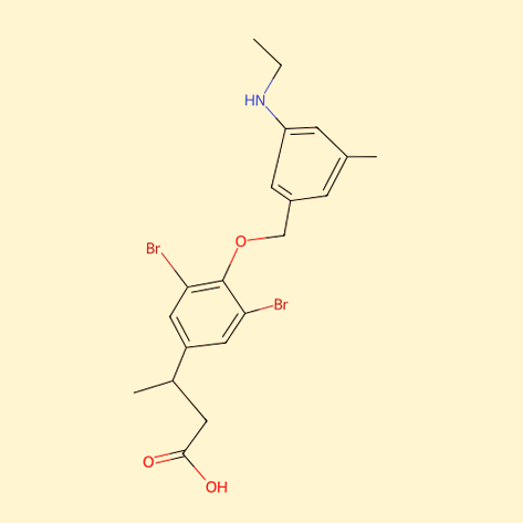 CCNc1cc(C)cc(COc2c(Br)cc(C(C)CC(=O)O)cc2Br)c1